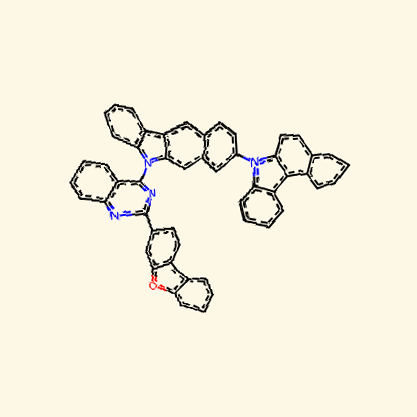 c1ccc2c(c1)ccc1c2c2ccccc2n1-c1ccc2cc3c4ccccc4n(-c4nc(-c5ccc6c(c5)oc5ccccc56)nc5ccccc45)c3cc2c1